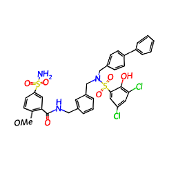 COc1ccc(S(N)(=O)=O)cc1C(=O)NCc1cccc(CN(Cc2ccc(-c3ccccc3)cc2)S(=O)(=O)c2cc(Cl)cc(Cl)c2O)c1